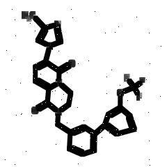 Cc1cn(-c2ccc3n(c2=O)CCN(Cc2cccc(-c4cccc(OC(F)(F)F)c4)c2)C3=O)cn1